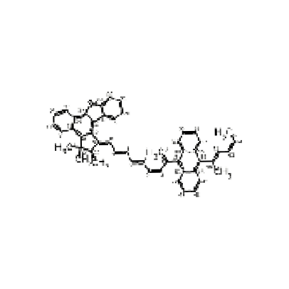 C=C(\C=C/C=C/C=C/C=C1\C(=C)C(C)(C)c2c1c1c3ccccc3sc1c1ccccc21)c1c2ccccc2c(/C(C)=C/C=C\C)c2ccccc12